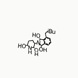 [CH2]CC(C)Cc1cccc2c1C(O)N(C1CCC(O)NC1O)C2O